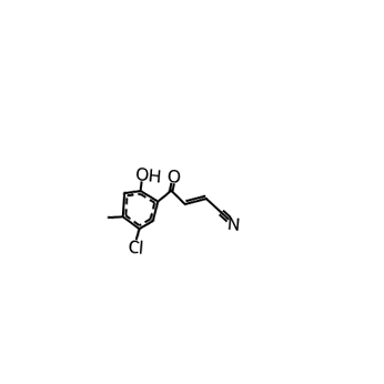 Cc1cc(O)c(C(=O)/C=C/C#N)cc1Cl